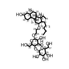 CCC[C@@H](C)[C@H]1CC[C@H]2[C@@H]3CC[C@@H]4C[C@H](O)CC[C@]4(C)[C@H]3C[C@H](OCCO[C@@H]3OC(CO)[C@@H](O[C@H]4OC(CO)[C@@H](O)[C@H](O)C4O)C(O)[C@@H]3O)[C@]12C